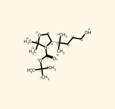 CC(C)(C)OC(=O)N1[C@@H](C(C)(C)CCCO)COC1(C)C